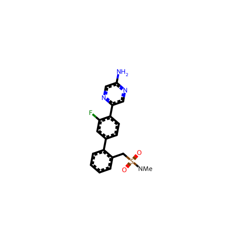 CNS(=O)(=O)Cc1ccccc1-c1ccc(-c2cnc(N)cn2)c(F)c1